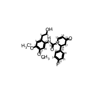 COc1cc(CCO)c(NC(=O)N2C=CC(=O)CC2c2ccc(F)cc2)cc1OC